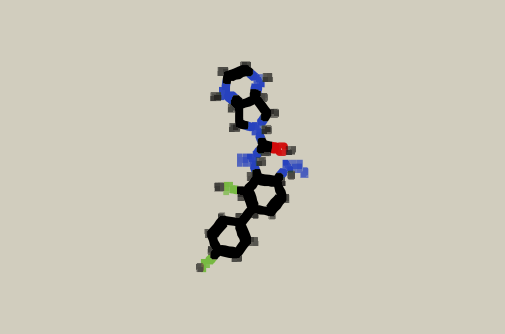 Nc1ccc(-c2ccc(F)cc2)c(F)c1NC(=O)N1Cc2nccnc2C1